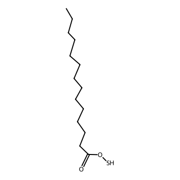 CCCCCCCCCCCCCC(=O)OS